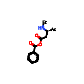 CCN[C@@H](CC(=O)OC(=O)c1ccccc1)C(C)=O